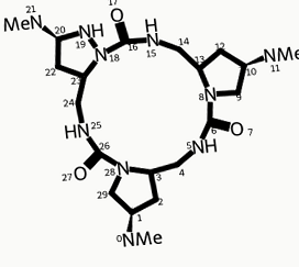 CN[C@@H]1CC2CNC(=O)N3C[C@H](NC)CC3CNC(=O)N3N[C@H](NC)CC3CNC(=O)N2C1